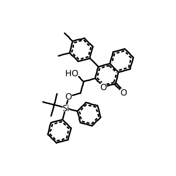 Cc1ccc(-c2c(C(O)CO[Si](c3ccccc3)(c3ccccc3)C(C)(C)C)oc(=O)c3ccccc23)cc1C